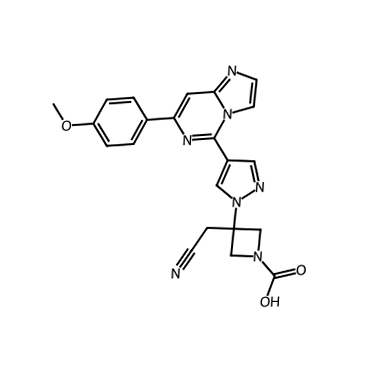 COc1ccc(-c2cc3nccn3c(-c3cnn(C4(CC#N)CN(C(=O)O)C4)c3)n2)cc1